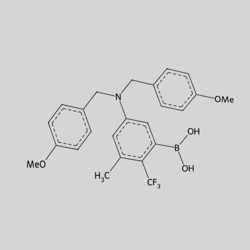 COc1ccc(CN(Cc2ccc(OC)cc2)c2cc(C)c(C(F)(F)F)c(B(O)O)c2)cc1